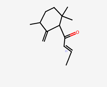 C=C1C(C)CCC(C)(C)C1C(=O)/C=C/C